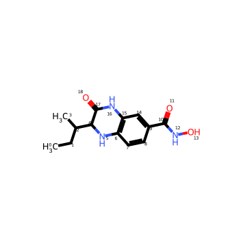 CCC(C)C1Nc2ccc(C(=O)NO)cc2NC1=O